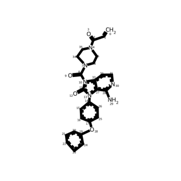 C=CC(=O)N1CCN(C(=O)n2c(=O)n(-c3ccc(Oc4ccccc4)cc3)c3c(N)nccc32)CC1